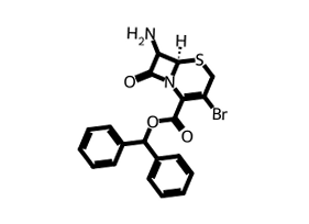 NC1C(=O)N2C(C(=O)OC(c3ccccc3)c3ccccc3)=C(Br)CS[C@H]12